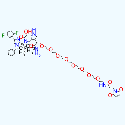 CC(C)(C)[C@H](c1nc(-c2cc(F)ccc2F)cn1Cc1ccccc1)N(CC1CNCC1C(COCCOCCOCCOCCOCCOCCOCCOCCNC(=O)CCN1C(=O)C=CC1=O)C(N)=O)C(=O)CO